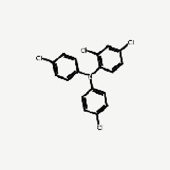 Clc1ccc(N(c2ccc(Cl)cc2)c2ccc(Cl)cc2Cl)cc1